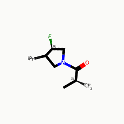 CC(C)C1CN(C(=O)[C@H](C)C(F)(F)F)C[C@@H]1F